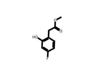 COC(=O)Cc1ccc(F)cc1O